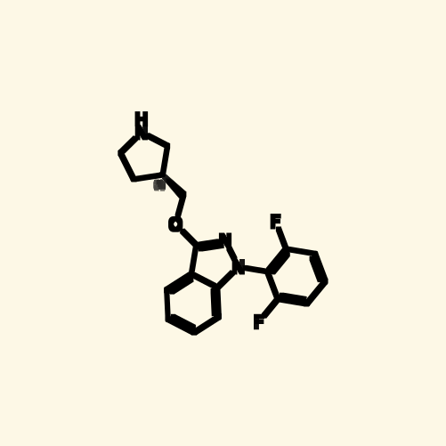 Fc1cccc(F)c1-n1nc(OC[C@H]2CCNC2)c2ccccc21